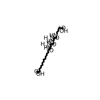 C[C@@H](CCCCNC(=O)[C@@H](N)CNC(=O)[C@@H](N)CNC(=O)CCCCCCCCCCCCCCC(=O)O)C(=O)O